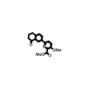 COC(=O)c1nc(-c2ccc3c(c2)C(=O)CCC3)ccc1OC